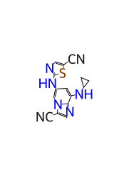 N#Cc1cnc(Nc2cc(NC3CC3)c3ncc(C#N)n3c2)s1